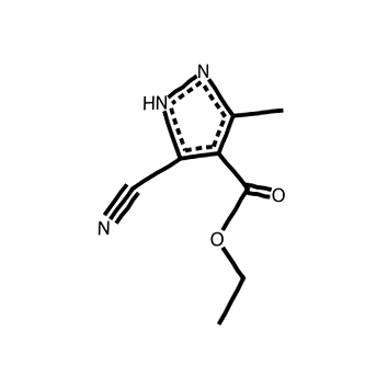 CCOC(=O)c1c(C)n[nH]c1C#N